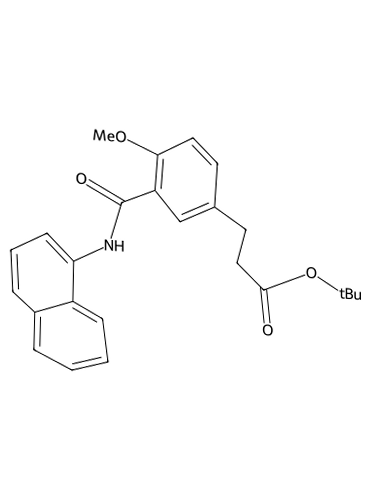 COc1ccc(CCC(=O)OC(C)(C)C)cc1C(=O)Nc1cccc2ccccc12